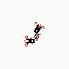 C[Si](C)(O[Si](C)(C)C1CC2CC1C1C(=O)OC(=O)C21)C1CC2CC1C1C(=O)OC(=O)C21